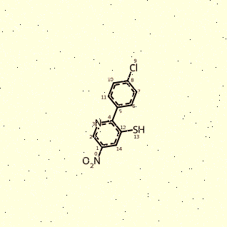 O=[N+]([O-])c1cnc(-c2ccc(Cl)cc2)c(S)c1